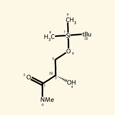 CNC(=O)[C@@H](O)CO[Si](C)(C)C(C)(C)C